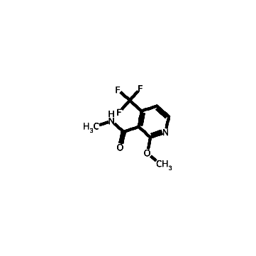 CNC(=O)c1c(C(F)(F)F)ccnc1OC